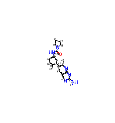 CNc1ncc2cc(-c3cc(NC(=O)N4CCCC4)ccc3C)c(C)nc2n1